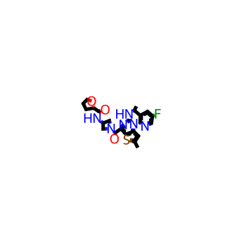 Cc1cc2nc(NC(C)c3cncc(F)c3)nc(C(=O)N3CC(NC(=O)C4CCCO4)C3)c2s1